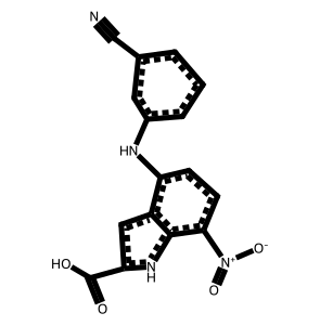 N#Cc1cccc(Nc2ccc([N+](=O)[O-])c3[nH]c(C(=O)O)cc23)c1